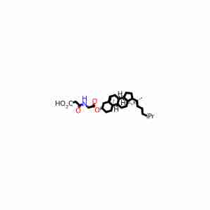 CC(C)CCC[C@@H](C)C1CC[C@H]2[C@@H]3CC=C4C[C@@H](OC(=O)CNC(=O)CC(=O)O)CC[C@]4(C)[C@H]3CC[C@]12C